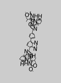 C=C(N[C@H](C(=O)N1C[C@@H]2CC[C@@]1(c1nc(-c3ccc(-c4ccc(-c5c[nH]c([C@@]67CC[C@@H](CN6C(=O)[C@@H](NC(=O)OC)C(C)C)C7)n5)c5c4ncn5C)cc3)c[nH]1)C2)C(C)C)OC